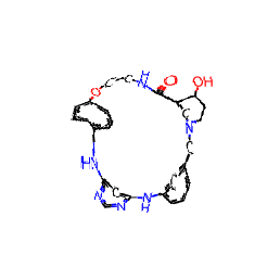 O=C1NCCOc2ccc(cc2)Nc2cc(ncn2)Nc2cccc(c2)CN2CCC(O)C1C2